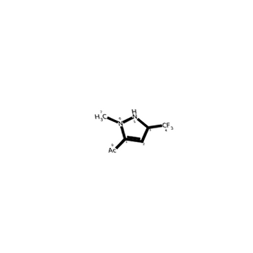 CC(=O)C1=CC(C(F)(F)F)NN1C